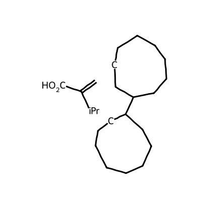 C1CCCCC(C2CCCCCCCC2)CCC1.C=C(C(=O)O)C(C)C